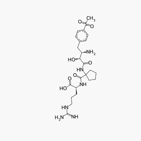 CS(=O)(=O)c1ccc(C[C@@H](N)[C@H](O)C(=O)NC2(C(=O)N[C@@H](CCCNC(=N)N)C(=O)O)CCCC2)cc1